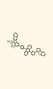 CC1(C)c2ccc(-c3ccc(-c4c5ccccc5c(-c5cccc(-c6cccc7c6oc6ccccc67)c5)c5ccccc45)cc3)cc2-c2cc3ccccc3cc21